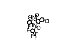 O=C(Nc1cc2cc(Cl)ccc2c2c1C(c1cc(F)ccc1Cl)NC2=O)c1cc(F)cc(C(F)(F)F)c1